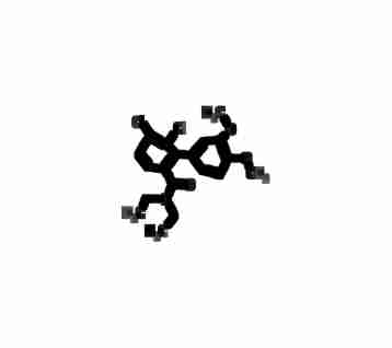 CCN(CC)C(=O)c1ccc(Cl)c(Cl)c1-c1ccc(OC)c(OC)c1